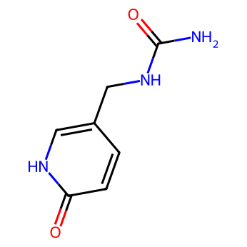 NC(=O)NCc1ccc(=O)[nH]c1